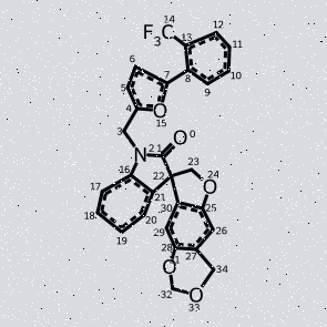 O=C1N(Cc2ccc(-c3ccccc3C(F)(F)F)o2)c2ccccc2C12COc1cc3c(cc12)OCOC3